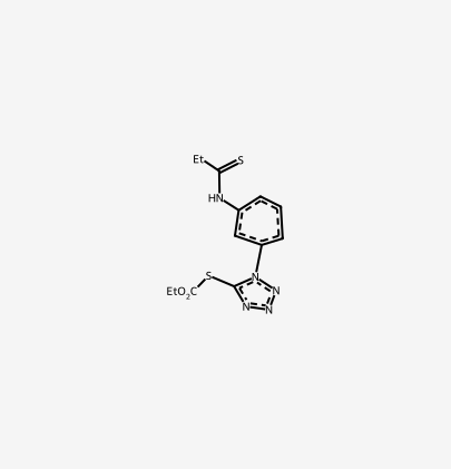 CCOC(=O)Sc1nnnn1-c1cccc(NC(=S)CC)c1